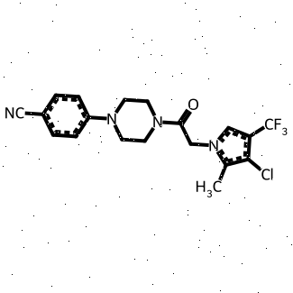 Cc1c(Cl)c(C(F)(F)F)cn1CC(=O)N1CCN(c2ccc(C#N)cc2)CC1